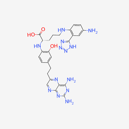 Nc1ccc(NCCC[C@H](Nc2ccc(CCc3cnc4nc(N)nc(N)c4n3)cc2O)C(=O)O)c(-c2nnn[nH]2)c1